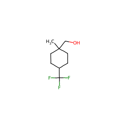 CC1(CO)CCC(C(F)(F)F)CC1